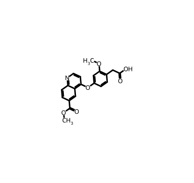 COC(=O)c1ccc2nccc(Oc3ccc(CC(=O)O)c(OC)c3)c2c1